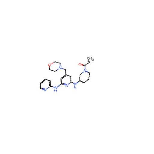 C=CC(=O)N1CCCC(Nc2cc(CN3CCOCC3)cc(Nc3ccccn3)n2)C1